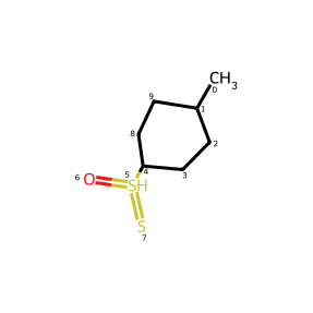 CC1CCC([SH](=O)=S)CC1